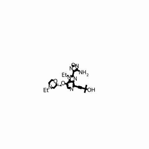 CCN1CCO[C@H](COc2cnc(C#CC(C)(C)O)c3nc(-c4nonc4N)n(CC)c23)C1